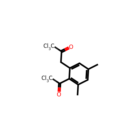 Cc1cc(C)c(C(=O)C(Cl)(Cl)Cl)c(CC(=O)C(Cl)(Cl)Cl)c1